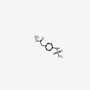 COC(=O)Cc1ccc(NS(C)(=O)=O)cc1